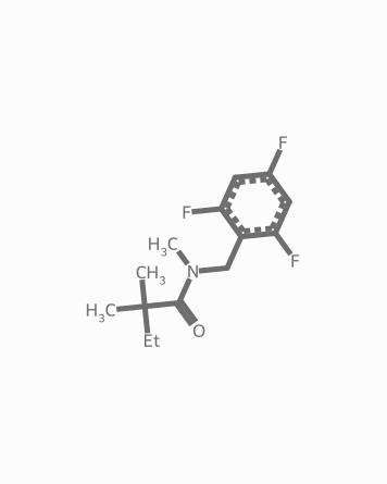 CCC(C)(C)C(=O)N(C)Cc1c(F)cc(F)cc1F